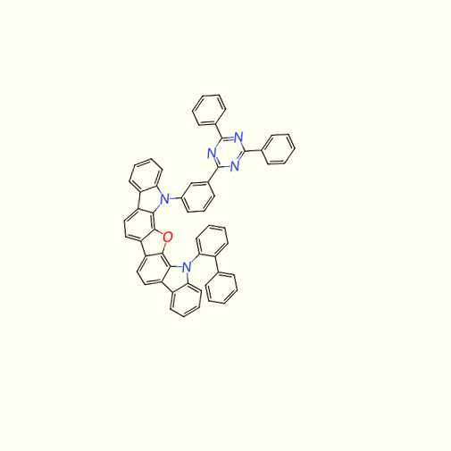 c1ccc(-c2nc(-c3ccccc3)nc(-c3cccc(-n4c5ccccc5c5ccc6c7ccc8c9ccccc9n(-c9ccccc9-c9ccccc9)c8c7oc6c54)c3)n2)cc1